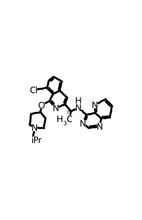 CC(C)N1CCC(Oc2nc([C@H](C)Nc3ncnc4cccnc34)cc3cccc(Cl)c23)CC1